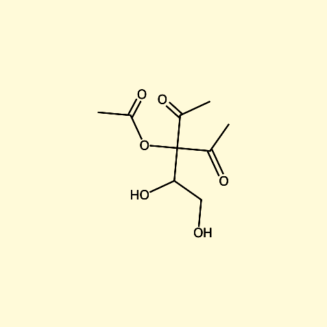 CC(=O)OC(C(C)=O)(C(C)=O)C(O)CO